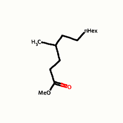 CCCCCCCCC(C)CCC(=O)OC